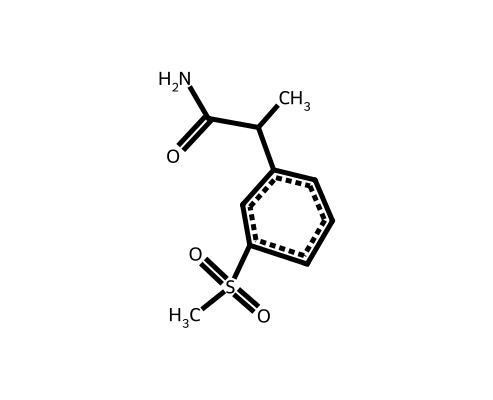 CC(C(N)=O)c1cccc(S(C)(=O)=O)c1